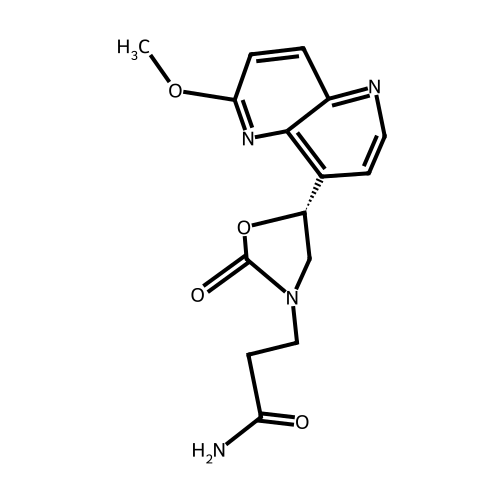 COc1ccc2nccc([C@@H]3CN(CCC(N)=O)C(=O)O3)c2n1